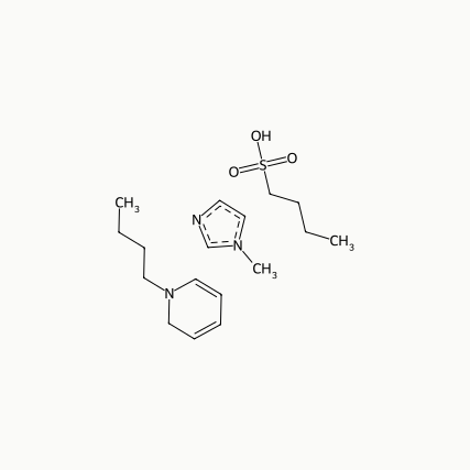 CCCCN1C=CC=CC1.CCCCS(=O)(=O)O.Cn1ccnc1